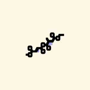 CCOC(=O)/C=C(\C)C(=O)OC(=O)/C=C/C(=O)OC